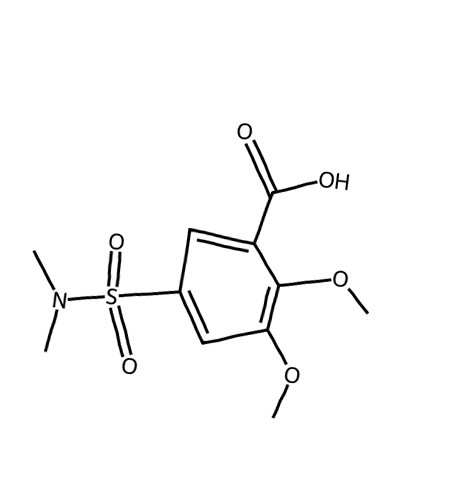 COc1cc(S(=O)(=O)N(C)C)cc(C(=O)O)c1OC